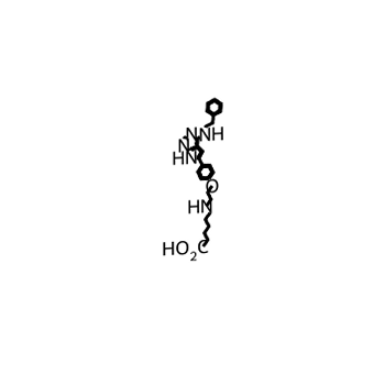 O=C(O)CCCCCNCCOc1ccc(-c2cc3c(NCCc4ccccc4)ncnc3[nH]2)cc1